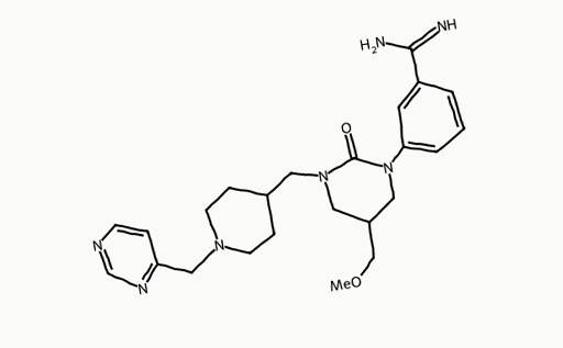 COCC1CN(CC2CCN(Cc3ccncn3)CC2)C(=O)N(c2cccc(C(=N)N)c2)C1